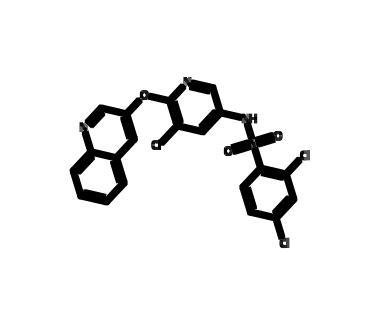 O=S(=O)(Nc1cnc(Oc2cnc3ccccc3c2)c(Cl)c1)c1ccc(Cl)cc1Cl